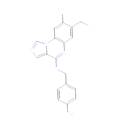 COCc1cc2nc(NCc3ccc(OC)cc3)c3cncn3c2cc1C(=O)O